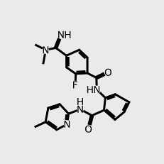 Cc1ccc(NC(=O)c2ccccc2NC(=O)c2ccc(C(=N)N(C)C)cc2F)nc1